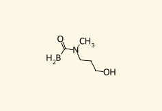 BC(=O)N(C)CCCO